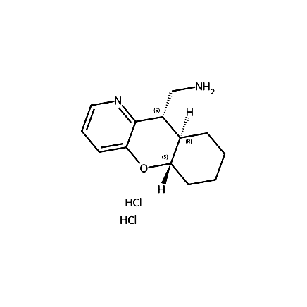 Cl.Cl.NC[C@H]1c2ncccc2O[C@H]2CCCC[C@@H]21